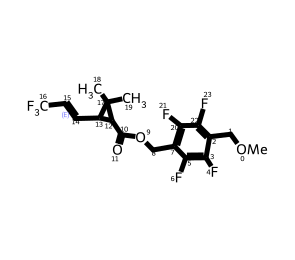 COCc1c(F)c(F)c(COC(=O)C2C(/C=C/C(F)(F)F)C2(C)C)c(F)c1F